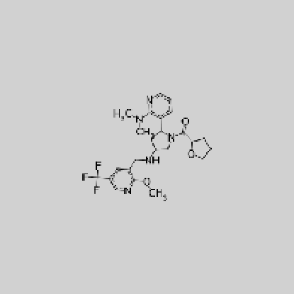 COc1ncc(C(F)(F)F)cc1CNC1CC(c2cccnc2N(C)C)N(C(=O)[C@@H]2CCCO2)C1